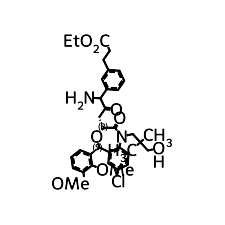 CCOC(=O)CCc1cccc(C(N)C(=O)C[C@H]2O[C@H](c3cccc(OC)c3OC)c3cc(Cl)ccc3N(CC(C)(C)CO)C2=O)c1